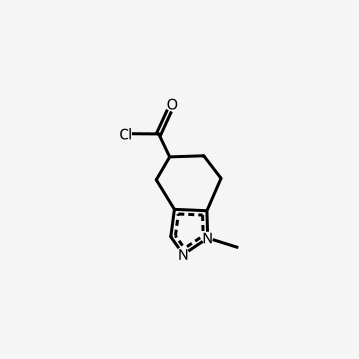 Cn1ncc2c1CCC(C(=O)Cl)C2